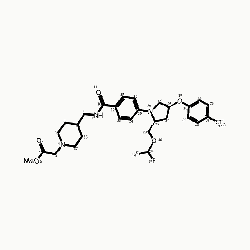 COC(=O)CN1CCC(CNC(=O)c2ccc(N3C[C@@H](Oc4ccc(C(F)(F)F)cc4)C[C@H]3COC(F)F)cc2)CC1